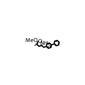 COC(=O)[C@H](C)C[C@H](N)Cc1ccc(-c2ccccc2)cc1